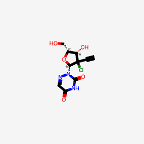 C#CC1(Cl)[C@@H](O)[C@@H](CO)O[C@H]1n1ncc(=O)[nH]c1=O